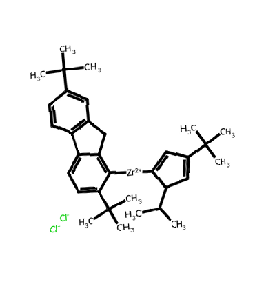 CC(C)C1C=C(C(C)(C)C)C=[C]1[Zr+2][c]1c(C(C)(C)C)ccc2c1Cc1cc(C(C)(C)C)ccc1-2.[Cl-].[Cl-]